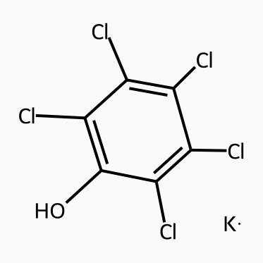 Oc1c(Cl)c(Cl)c(Cl)c(Cl)c1Cl.[K]